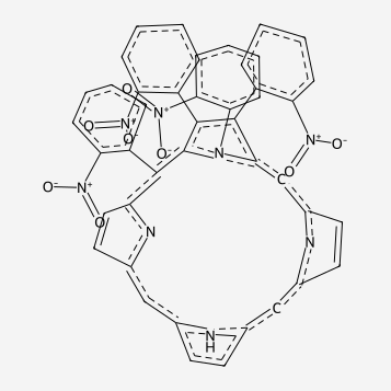 O=[N+]([O-])c1ccccc1-c1c(-c2ccccc2[N+](=O)[O-])c2c(-c3ccccc3[N+](=O)[O-])c3nc(cc4ccc(cc5nc(cc1n2-c1ccccc1[N+](=O)[O-])C=C5)[nH]4)C=C3